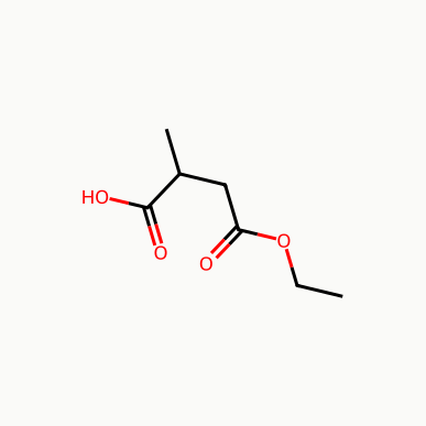 CCOC(=O)CC(C)C(=O)O